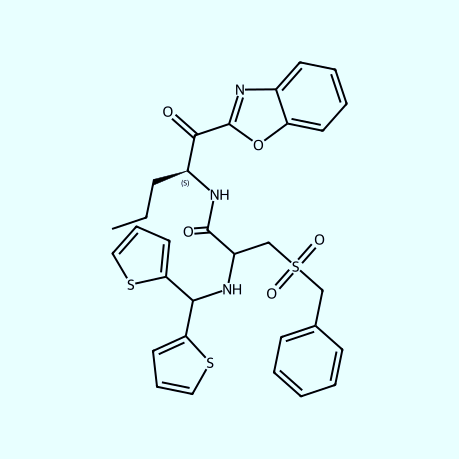 CCC[C@H](NC(=O)C(CS(=O)(=O)Cc1ccccc1)NC(c1cccs1)c1cccs1)C(=O)c1nc2ccccc2o1